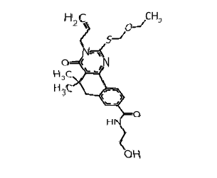 C=CCn1c(SCOCC)nc2c(c1=O)C(C)(C)Cc1cc(C(=O)NCCO)ccc1-2